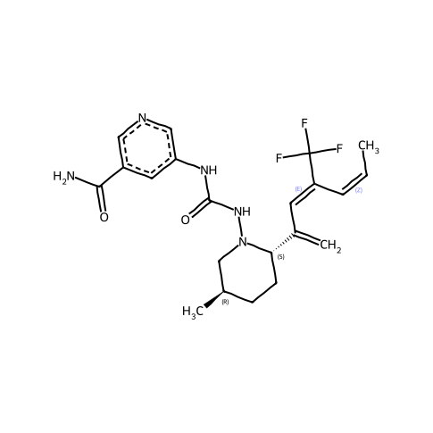 C=C(/C=C(\C=C/C)C(F)(F)F)[C@@H]1CC[C@@H](C)CN1NC(=O)Nc1cncc(C(N)=O)c1